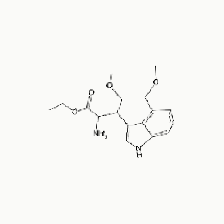 CCOC(=O)C(N)C(COC)c1c[nH]c2cccc(COC)c12